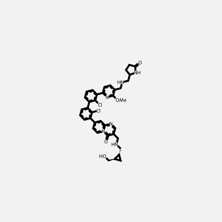 COc1nc(-c2cccc(-c3cccc(-c4ccn5c(=O)c(CNC[C@@H]6C[C@H]6CO)cnc5c4)c3Cl)c2Cl)ccc1CNCC1CCC(=O)N1